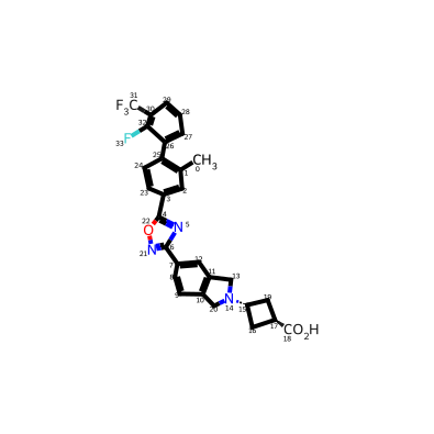 Cc1cc(-c2nc(-c3ccc4c(c3)CN([C@H]3C[C@H](C(=O)O)C3)C4)no2)ccc1-c1cccc(C(F)(F)F)c1F